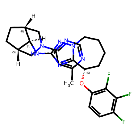 Cc1cc(N2C[C@H]3CC[C@@H](C2)[C@@H]3Nc2nc3n(n2)CCCC[C@@H]3Oc2ccc(F)c(F)c2F)ncn1